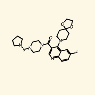 O=C(c1cnc2ccc(F)cc2c1N1CCC2(CC1)OCCO2)N1CCN(SN2CCCC2)CC1